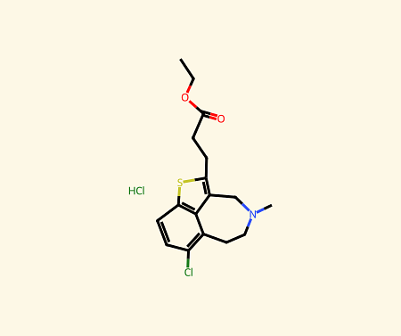 CCOC(=O)CCc1sc2ccc(Cl)c3c2c1CN(C)CC3.Cl